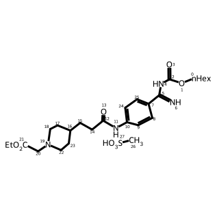 CCCCCCOC(=O)NC(=N)c1ccc(NC(=O)CCC2CCN(CC(=O)OCC)CC2)cc1.CS(=O)(=O)O